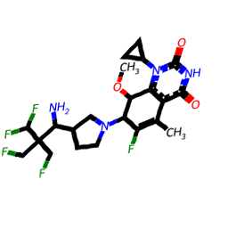 COC1c2c(c(=O)[nH]c(=O)n2C2CC2)C(C)=C(F)C1N1CCC(C(N)C(CF)(CF)C(F)F)C1